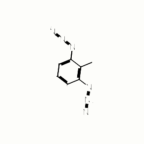 Cc1c(N=[N+]=[N-])cccc1N=[N+]=[N-]